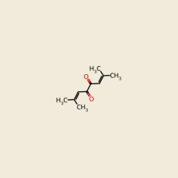 CC(C)=CC(=O)C(=O)C=C(C)C